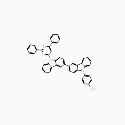 CC(C)(C)c1ccc(-n2c3ccccc3c3cc(-c4ccc5c(c4)c4ccccc4n5-c4cc(-c5ccccc5)nc(-c5ccccc5)n4)ccc32)cc1